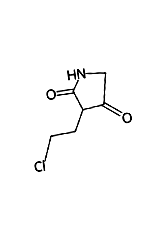 O=C1CNC(=O)C1CCCl